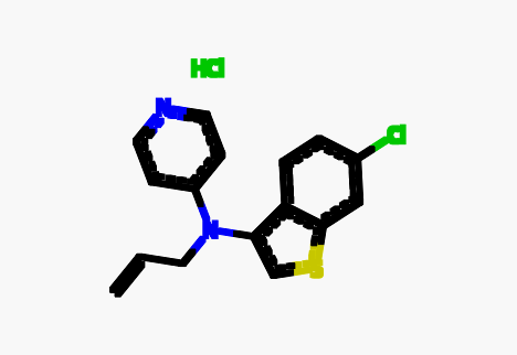 C=CCN(c1ccncc1)c1csc2cc(Cl)ccc12.Cl